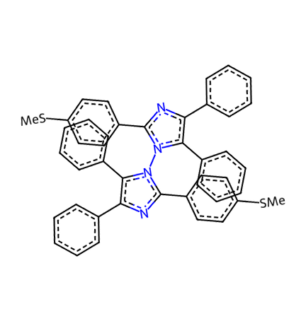 CSc1ccc(-c2nc(-c3ccccc3)c(-c3ccccc3)n2-n2c(-c3ccc(SC)cc3)nc(-c3ccccc3)c2-c2ccccc2)cc1